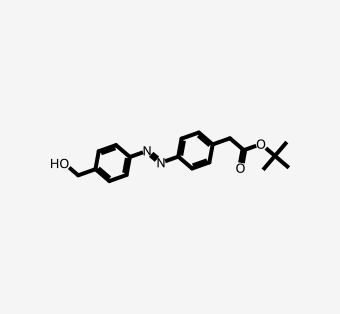 CC(C)(C)OC(=O)Cc1ccc(N=Nc2ccc(CO)cc2)cc1